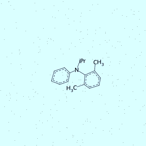 Cc1cccc(C)c1N(c1ccccc1)C(C)C